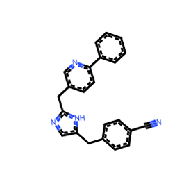 N#Cc1ccc(Cc2cnc(Cc3ccc(-c4ccccc4)nc3)[nH]2)cc1